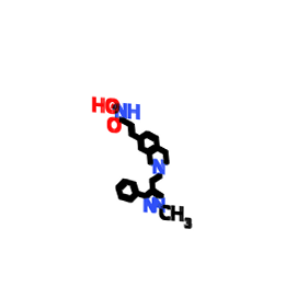 Cn1cc(CCN2CCc3ccc(C=CC(=O)NO)cc3C2)c(-c2ccccc2)n1